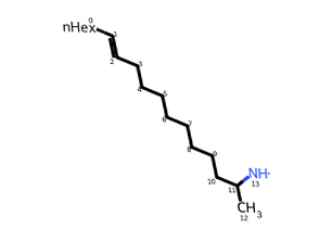 CCCCCCC=CCCCCCCCCC(C)[NH]